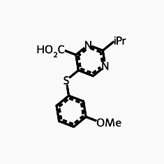 COc1cccc(Sc2cnc(C(C)C)nc2C(=O)O)c1